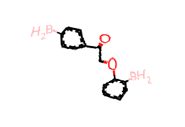 Bc1ccc(C(=O)COc2ccccc2B)cc1